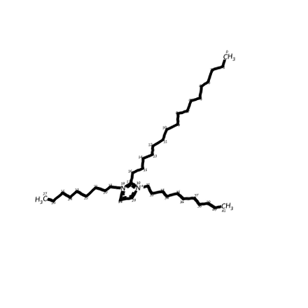 CCCCCCCCCCCCCCCCCc1n(CCCCCCCCC)cc[n+]1CCCCCCCCCCC